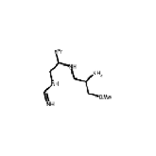 CCCC(CNC=N)NCC(N)COC